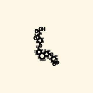 O=C(O)C[C@@H]1COc2cc(OCc3ccc4c(c3)-c3ccc(OC5CCS(=O)(=O)CC5)cc3CCC4)ccc21